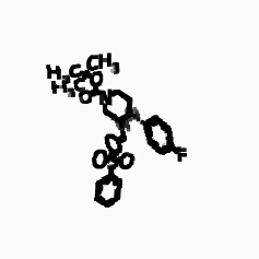 CC(C)(C)OC(=O)N1CC[C@H](c2ccc(F)cc2)[C@@H](COS(=O)(=O)c2ccccc2)C1